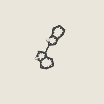 [c]1oc2ccccc2c1-c1cc2ccccc2o1